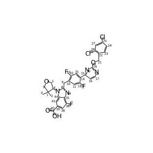 CC1(C)COC[C@H]1n1c(Cc2cc(F)c(-c3ccnc(OCc4ccc(Cl)cc4Cl)n3)cc2F)nc2c(F)cc(C(=O)O)cc21